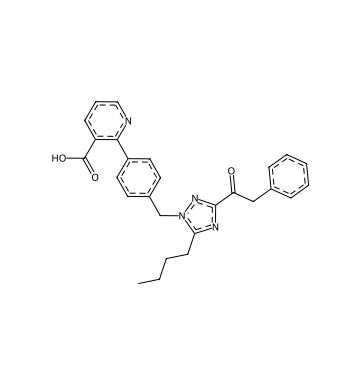 CCCCc1nc(C(=O)Cc2ccccc2)nn1Cc1ccc(-c2ncccc2C(=O)O)cc1